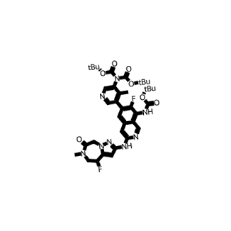 Cc1c(-c2cc3cc(Nc4cc5n(n4)CC(=O)N(C)CC5F)ncc3c(NC(=O)OC(C)(C)C)c2F)cncc1N(C(=O)OC(C)(C)C)C(=O)OC(C)(C)C